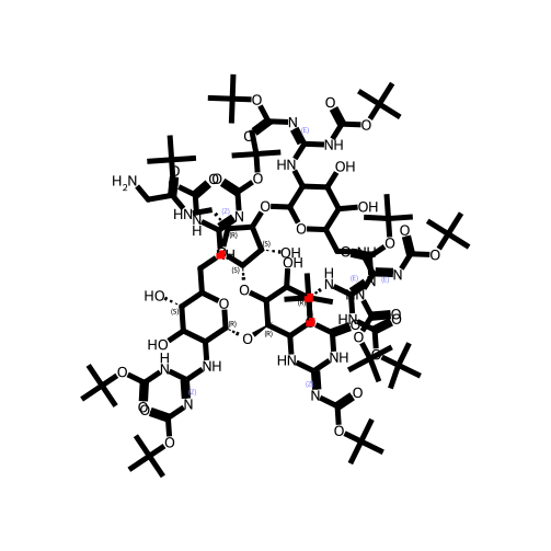 CC(C)(C)OC(=O)/N=C(/NCC1O[C@H](O[C@@H]2C(N/C(=N/C(=O)OC(C)(C)C)NC(=O)OC(C)(C)C)C[C@@H](N/C(=N\C(=O)OC(C)(C)C)NC(=O)OC(C)(C)C)C(O)C2O[C@@H]2O[C@H](CNC(=O)CN)C(OC3OC(CN/C(=N\C(=O)OC(C)(C)C)NC(=O)OC(C)(C)C)C(O)C(O)C3N/C(=N\C(=O)OC(C)(C)C)NC(=O)OC(C)(C)C)[C@@H]2O)C(N/C(=N/C(=O)OC(C)(C)C)NC(=O)OC(C)(C)C)C(O)[C@@H]1O)NC(=O)OC(C)(C)C